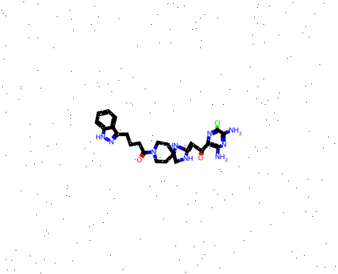 Nc1nc(N)c(C(=O)/C=C2\NCC3(CCN(C(=O)CCCc4n[nH]c5ccccc45)CC3)N2)nc1Cl